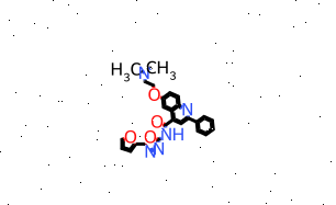 CN(C)CCOc1ccc2nc(-c3ccccc3)cc(C(=O)Nc3nnc(-c4ccco4)o3)c2c1